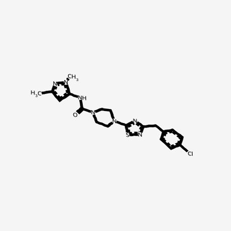 Cc1cc(NC(=O)N2CCN(c3nc(Cc4ccc(Cl)cc4)ns3)CC2)n(C)n1